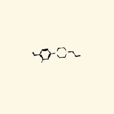 O=Cc1ccc(N2CCN(CCF)CC2)cc1O